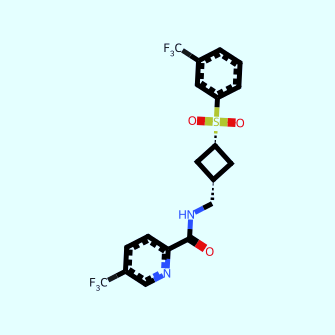 O=C(NC[C@H]1C[C@@H](S(=O)(=O)c2cccc(C(F)(F)F)c2)C1)c1ccc(C(F)(F)F)cn1